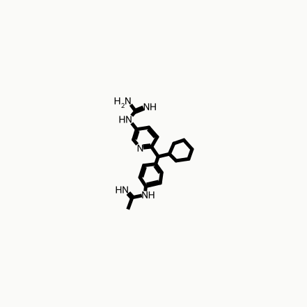 CC(=N)Nc1ccc(C(c2ccc(NC(=N)N)cn2)C2CCCCC2)cc1